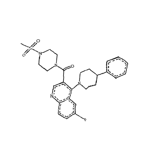 CS(=O)(=O)N1CCN(C(=O)c2cnc3ccc(F)cc3c2N2CCC(c3ccccc3)CC2)CC1